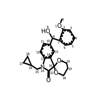 COc1ccccc1C(O)c1ccc2c(c1)C1(OCCCO1)C(=O)N2CC1CC1